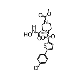 COC(=O)N1CCN(S(=O)(=O)c2ccc(-c3ccc(Cl)cc3)s2)[C@@H](C(=O)NO)C1